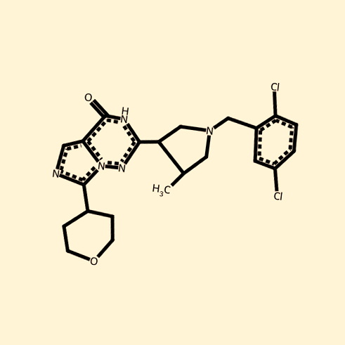 CC1CN(Cc2cc(Cl)ccc2Cl)CC1c1nn2c(C3CCOCC3)ncc2c(=O)[nH]1